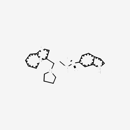 O=S(=O)(NC[C@@H](c1cnc2ccccn12)N1CCCC1)c1ccc2cc[nH]c2c1